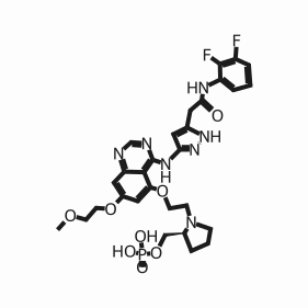 COCCOc1cc(OCCN2CCC[C@H]2COP(=O)(O)O)c2c(Nc3cc(CC(=O)Nc4cccc(F)c4F)[nH]n3)ncnc2c1